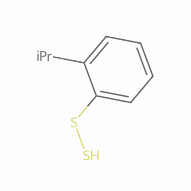 CC(C)c1ccccc1SS